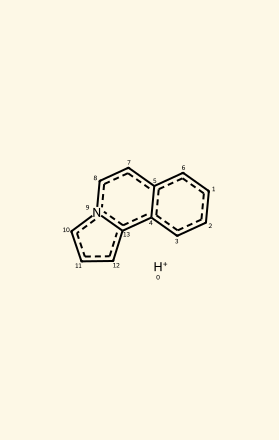 [H+].c1ccc2c(c1)ccn1cccc21